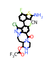 N#Cc1c(N)sc2c(F)ccc(-c3c(F)cc4c5c3c(Cl)nn5CCC3C(OC(=O)C(F)(F)F)NCCN3C4=O)c12